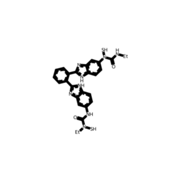 CCNC(=O)N(S)c1ccc2[nH]c(-c3ccccc3-c3nc4cc(NC(=O)N(S)CC)ccc4[nH]3)nc2c1